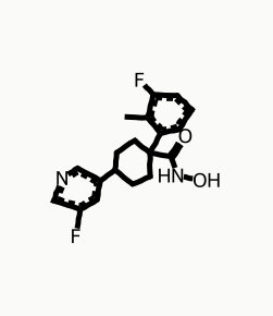 Cc1c(F)cccc1C1(C(=O)NO)CCC(c2cncc(F)c2)CC1